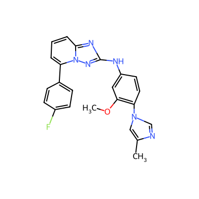 COc1cc(Nc2nc3cccc(-c4ccc(F)cc4)n3n2)ccc1-n1cnc(C)c1